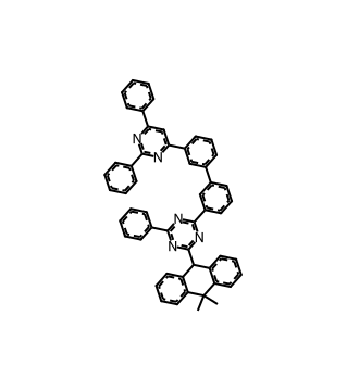 CC1(C)c2ccccc2C(c2nc(-c3ccccc3)nc(-c3cccc(-c4cccc(-c5cc(-c6ccccc6)nc(-c6ccccc6)n5)c4)c3)n2)c2ccccc21